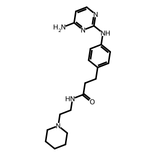 Nc1ccnc(Nc2ccc(CCC(=O)NCCN3CCCCC3)cc2)n1